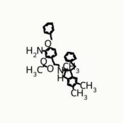 CC(=O)OC(CN[C@]1(C)Cc2cc(C)c(C)cc2C1Cc1ccccc1)c1ccc(OCc2ccccc2)c(N)c1